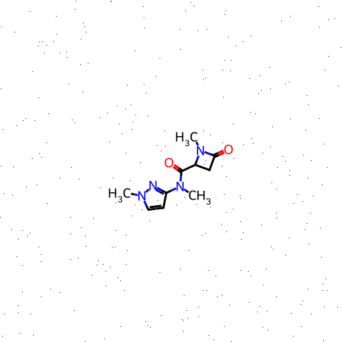 CN(C(=O)C1CC(=O)N1C)c1ccn(C)n1